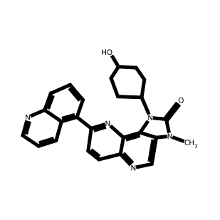 Cn1c(=O)n(C2CCC(O)CC2)c2c3nc(-c4cccc5ncccc45)ccc3ncc21